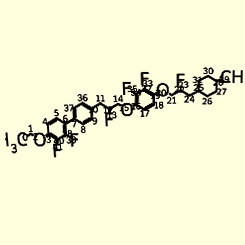 CCOc1ccc(-c2ccc(CC(F)COc3ccc(OCC(F)CC4CCC(C)CC4)c(F)c3F)cc2)c(F)c1F